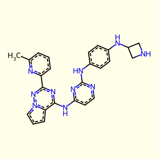 Cc1cccc(-c2nc(Nc3ccnc(Nc4ccc(NC5CNC5)cc4)n3)c3cccn3n2)n1